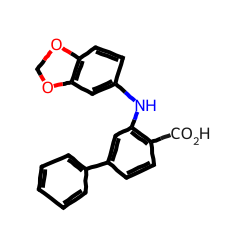 O=C(O)c1ccc(-c2ccccc2)cc1Nc1ccc2c(c1)OCO2